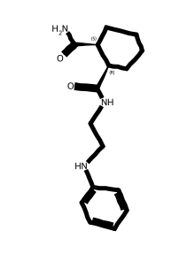 NC(=O)[C@H]1CCCC[C@H]1C(=O)NCCNc1ccccc1